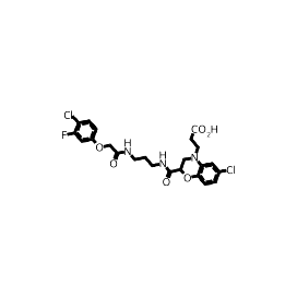 O=C(O)CCN1CC(C(=O)NCCCNC(=O)COc2ccc(Cl)c(F)c2)Oc2ccc(Cl)cc21